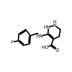 O=C(O)C1=C(NCc2ccc(F)cc2)NNCC1